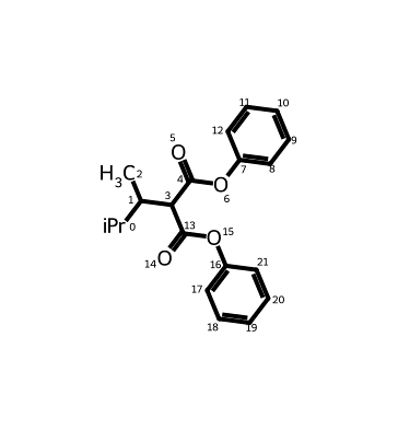 CC(C)C(C)C(C(=O)Oc1ccccc1)C(=O)Oc1ccccc1